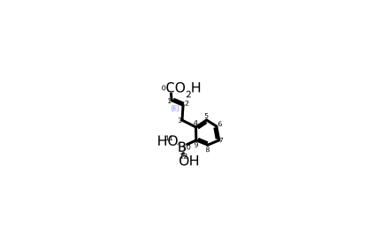 O=C(O)/C=C/Cc1ccccc1B(O)O